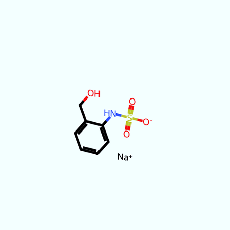 O=S(=O)([O-])Nc1ccccc1CO.[Na+]